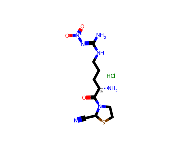 Cl.N#CC1SCCN1C(=O)[C@@H](N)CCCNC(N)=N[N+](=O)[O-]